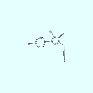 CCn1c(-c2ccc(Br)cc2)nn(CC#CI)c1=O